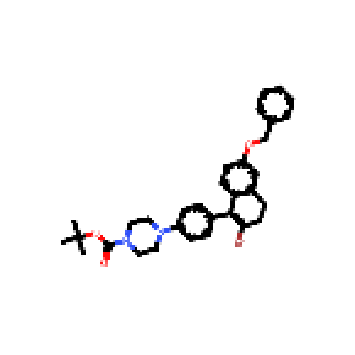 CC(C)(C)OC(=O)N1CCN(c2ccc(C3=C(Br)CCc4cc(OCc5ccccc5)ccc43)cc2)CC1